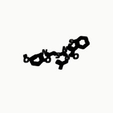 C=C(C)Cn1c(SCc2nc3cc(OC)ccc3o2)nc2sc3c(c2c1=O)CCCC3